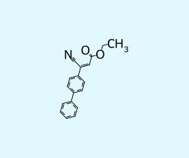 CCOC(=O)C=C(C#N)c1ccc(-c2ccccc2)cc1